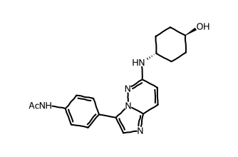 CC(=O)Nc1ccc(-c2cnc3ccc(N[C@H]4CC[C@H](O)CC4)nn23)cc1